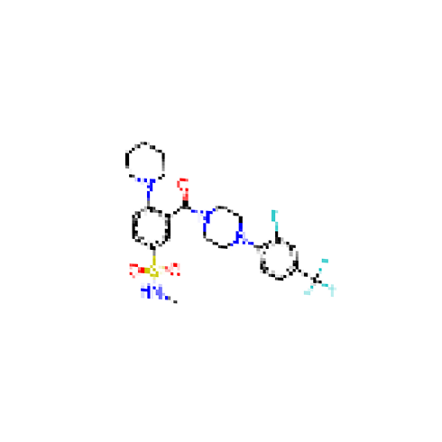 CNS(=O)(=O)c1ccc(N2CCCCC2)c(C(=O)N2CCN(c3ccc(C(F)(F)F)cc3F)CC2)c1